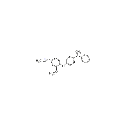 C=C(c1ccccc1)c1ccc(Oc2ccc(/C=C/C)cc2OC)cc1